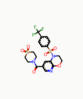 O=C(c1cnc2c(c1)N(S(=O)(=O)c1ccc(C(F)(F)F)cc1)CCO2)N1CCS(=O)(=O)CC1